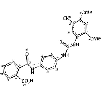 COc1cc(OC)c(NC(=S)Nc2ccc(NC(=O)c3ccccc3C(=O)O)cc2)cc1Cl